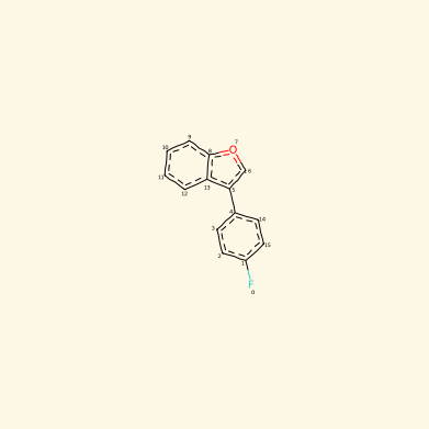 Fc1ccc(-c2[c]oc3ccccc23)cc1